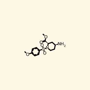 COC(=O)[C@H]1C[C@@H](N)CCN1S(=O)(=O)c1ccc(OC)cc1